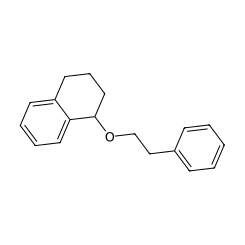 c1ccc(CCOC2CCCc3ccccc32)cc1